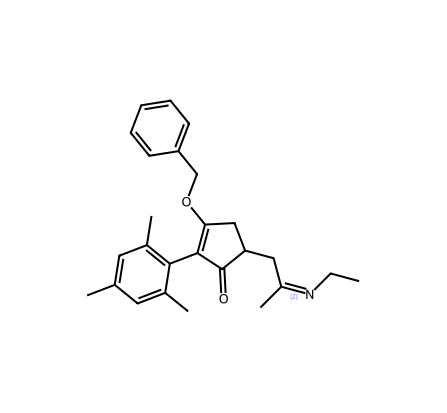 CC/N=C(/C)CC1CC(OCc2ccccc2)=C(c2c(C)cc(C)cc2C)C1=O